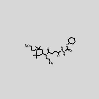 CC1(C)CC(N(CCC#N)C(=O)CCC(=O)NNC(=O)OC2CCCCC2)CC(C)(C)N1CCC#N